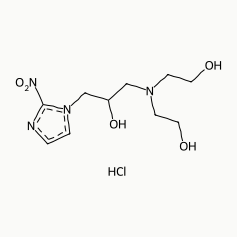 Cl.O=[N+]([O-])c1nccn1CC(O)CN(CCO)CCO